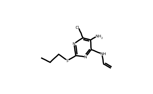 C=CNc1nc(SCCC)nc(Cl)c1N